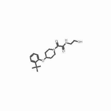 CC(C)(C)c1ccccc1OC1CCN(C(=O)C(=O)NCCO)CC1